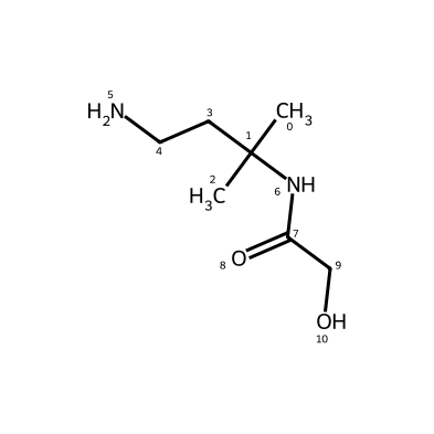 CC(C)(CCN)NC(=O)CO